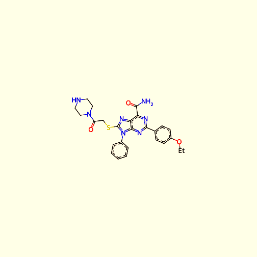 CCOc1ccc(-c2nc(C(N)=O)c3nc(SCC(=O)N4CCNCC4)n(-c4ccccc4)c3n2)cc1